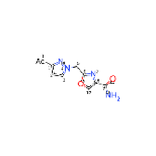 CC(=O)c1ccn(Cc2nc(C(N)=O)co2)n1